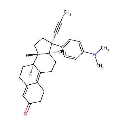 CC#C[C@@]1(c2ccc(N(C)C)cc2)CC[C@H]2[C@@H]3CCC4=CC(=O)CCC4=C3CC[C@@]21C